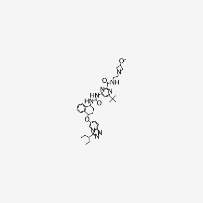 CCC(CC)c1nnc2ccc(O[C@@H]3CCC(NC(=O)Nc4cc(C(C)(C)C)nc(C(=O)NCCN5CC(OC)C5)n4)c4ccccc43)cn12